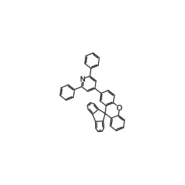 c1ccc(-c2cc(-c3ccc4c(c3)C3(c5ccccc5O4)c4ccccc4-c4ccccc43)cc(-c3ccccc3)n2)cc1